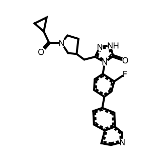 O=C(C1CC1)N1CCC(Cc2n[nH]c(=O)n2-c2ccc(-c3ccc4ccncc4c3)cc2F)C1